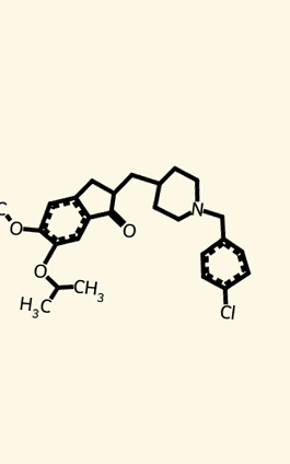 COc1cc2c(cc1OC(C)C)C(=O)C(CC1CCN(Cc3ccc(Cl)cc3)CC1)C2